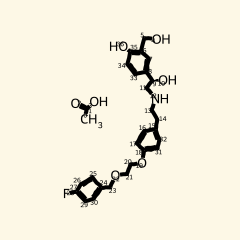 CC(=O)O.OCc1cc([C@@H](O)CNCCc2ccc(OCCOCc3ccc(F)cc3)cc2)ccc1O